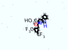 O=C(Cc1cc(C(F)(F)F)cc(C(F)(F)F)c1)NC(Cc1c[nH]c2ccccc12)C(=O)O